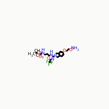 CC(C)(C)OC(=O)NCCCN/C(=N\C(=O)C(F)(F)F)N1Cc2ccc(OCCON)cc2C1